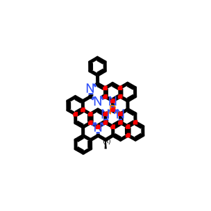 C[C@H](c1ccccc1-c1ccccc1P1c2ccccc2-c2ccccc2N1c1cc(-c2ccccc2)nc(-c2ccccc2)n1)C1c2ccccc2-c2ccccc2N1c1cc(-c2ccccc2)nc(-c2ccccc2)n1